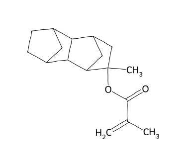 C=C(C)C(=O)OC1(C)CC2CC1C1C3CCC(C3)C21